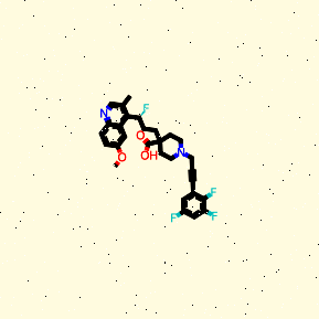 COc1ccc2ncc(C)c([C@H](F)CCC3(C(=O)O)CCN(CC#Cc4cc(F)cc(F)c4F)CC3)c2c1